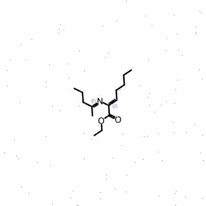 CCCC/C=C(\N=C(/C)CCC)C(=O)OCC